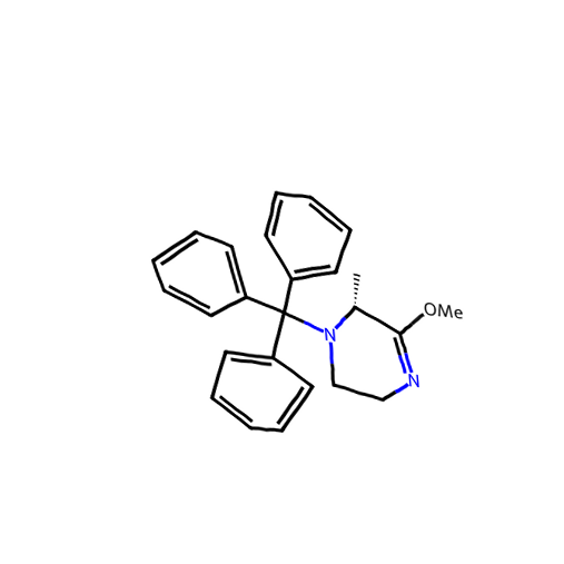 COC1=NCCN(C(c2ccccc2)(c2ccccc2)c2ccccc2)[C@@H]1C